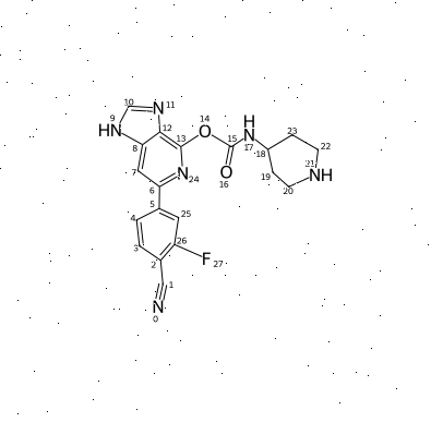 N#Cc1ccc(-c2cc3[nH]cnc3c(OC(=O)NC3CCNCC3)n2)cc1F